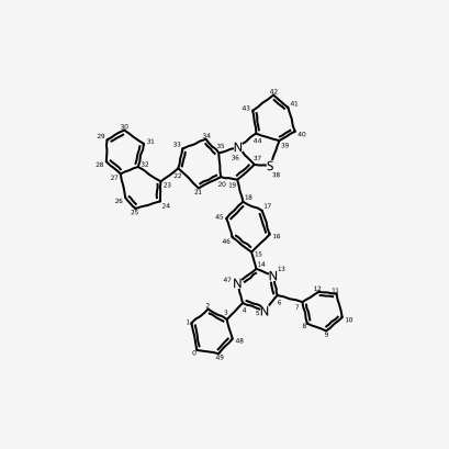 c1ccc(-c2nc(-c3ccccc3)nc(-c3ccc(-c4c5cc(-c6cccc7ccccc67)ccc5n5c4sc4ccccc45)cc3)n2)cc1